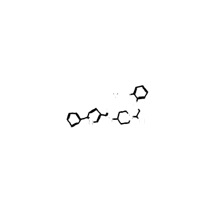 COc1ccccc1OCC(C)N1CCC(NC(=O)c2ccc(-c3cccc(F)c3)nc2)CC1